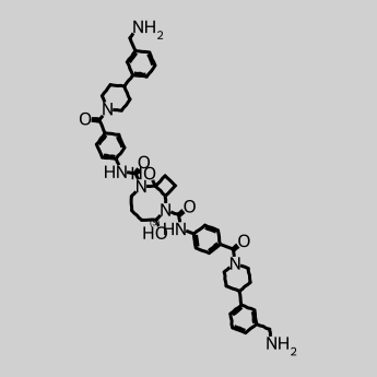 NCc1cccc(C2CCN(C(=O)c3ccc(NC(=O)N4C5CCC5(O)N(C(=O)Nc5ccc(C(=O)N6CCC(c7cccc(CN)c7)CC6)cc5)CCC[C@@H]4O)cc3)CC2)c1